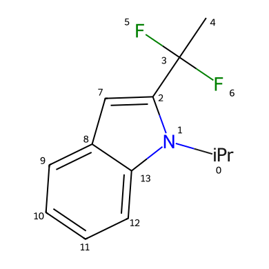 CC(C)n1c(C(C)(F)F)cc2ccccc21